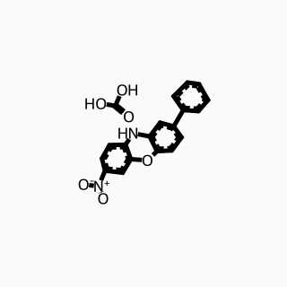 O=C(O)O.O=[N+]([O-])c1ccc2c(c1)Oc1ccc(-c3ccccc3)cc1N2